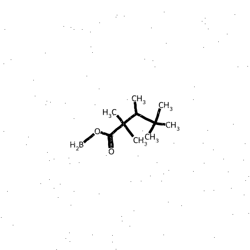 BOC(=O)C(C)(C)C(C)C(C)(C)C